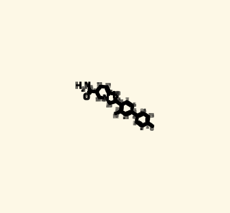 Cc1ccc(-c2ccc(C3=NC4=CCC(C(N)=O)CN4C3)c(C)c2)cc1